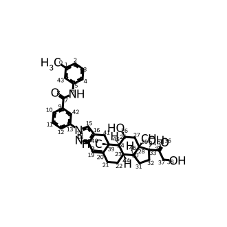 Cc1cccc(NC(=O)c2cccc(-n3cc4c(n3)C=C3CC[C@@H]5[C@H]([C@@H](O)C[C@@]6(C)[C@H]5CC[C@]6(O)C(=O)CO)[C@@]3(C)C4)c2)c1